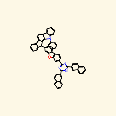 c1ccc(-n2c3ccccc3c3ccc4c(c32)C(c2ccc3c(c2)oc2cc(-c5nc(-c6ccc7ccccc7c6)nc(-c6ccc7ccccc7c6)n5)ccc23)c2ccccc2-4)cc1